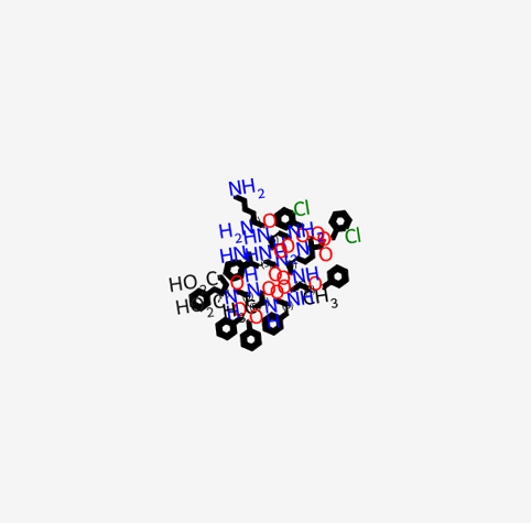 C[C@@H](OCc1ccccc1)[C@H](NC(=O)[C@H](CCCC(N)(C(=O)OCc1ccccc1Cl)C(=O)OCc1ccccc1Cl)NC(=O)[C@H](Cc1c[nH]c2ccccc12)NC(=O)[C@H](CC(N)=O)NC(=O)[C@@H](N)CCCCN)C(=O)N[C@@H](Cc1ccccc1)C(=O)N[C@H](C(=O)N[C@@H](COCc1ccccc1)C(=O)N[C@](CCC(=O)O)(Cc1ccccc1)C(=O)O)[C@@H](C)OCc1ccccc1